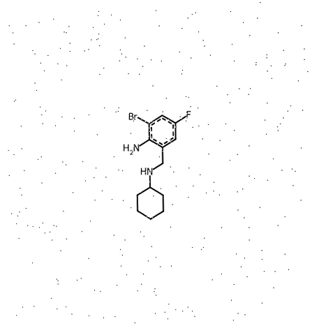 Nc1c(Br)cc(F)cc1CNC1CCCCC1